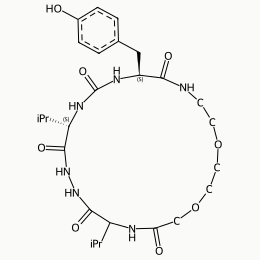 CC(C)C1NC(=O)COCCOCCNC(=O)[C@H](Cc2ccc(O)cc2)NC(=O)N[C@@H](C(C)C)C(=O)NNC1=O